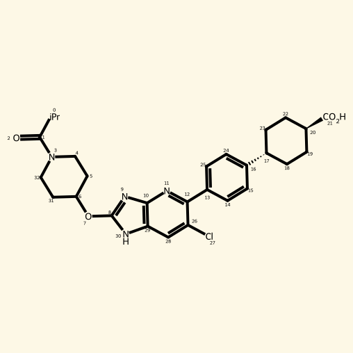 CC(C)C(=O)N1CCC(Oc2nc3nc(-c4ccc([C@H]5CC[C@H](C(=O)O)CC5)cc4)c(Cl)cc3[nH]2)CC1